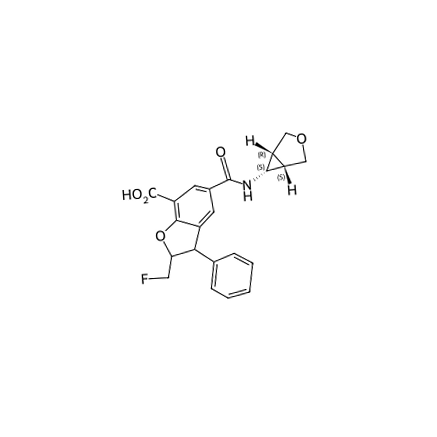 O=C(N[C@@H]1[C@@H]2COC[C@@H]21)c1cc(C(=O)O)c2c(c1)C(c1ccccc1)C(CF)O2